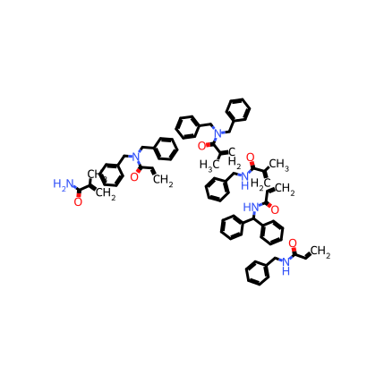 C=C(C)C(=O)N(Cc1ccccc1)Cc1ccccc1.C=C(C)C(=O)NCc1ccccc1.C=C(C)C(N)=O.C=CC(=O)N(Cc1ccccc1)Cc1ccccc1.C=CC(=O)NC(c1ccccc1)c1ccccc1.C=CC(=O)NCc1ccccc1